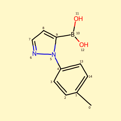 Cc1ccc(-n2nccc2B(O)O)cc1